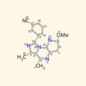 COc1ccc2nc(C)c3c(C)nc(-c4cccc(C#N)c4)n3c2n1